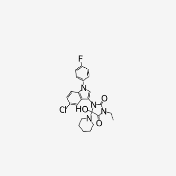 CCN1C(=O)N(c2cn(-c3ccc(F)cc3)c3ccc(Cl)cc23)C(O)(N2CCCCC2)C1=O